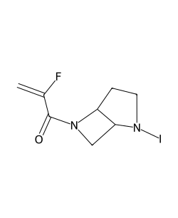 C=C(F)C(=O)N1CC2C1CCN2I